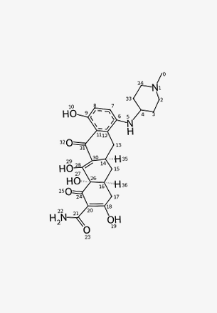 CN1CCC(Nc2ccc(O)c3c2C[C@H]2C[C@H]4CC(O)=C(C(N)=O)C(=O)[C@@]4(O)C(O)=C2C3=O)CC1